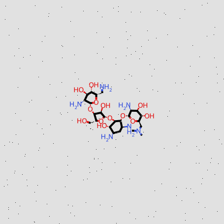 CN(C)C[C@H]1O[C@H](O[C@H]2[C@H](O[C@@H]3O[C@H](CO)[C@@H](O[C@H]4O[C@@H](CN)[C@@H](O)[C@H](O)[C@H]4N)[C@H]3O)[C@@H](O)[C@H](N)C[C@@H]2N)[C@H](N)[C@@H](O)[C@@H]1O